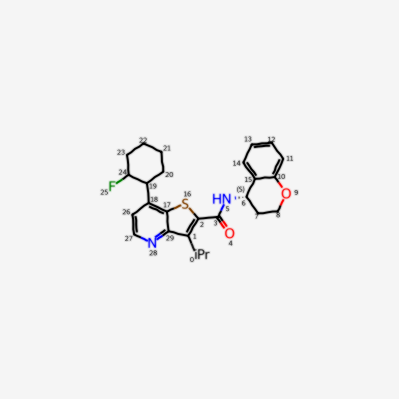 CC(C)c1c(C(=O)N[C@H]2CCOc3ccccc32)sc2c(C3CCCCC3F)ccnc12